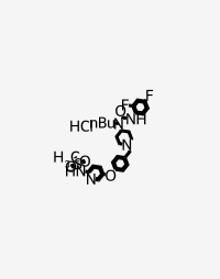 CCCCN(C(=O)Nc1ccc(F)cc1F)C1CCN(Cc2ccc(Oc3ccc(NS(C)(=O)=O)nc3)cc2)CC1.Cl